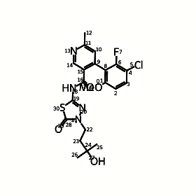 COc1ccc(Cl)c(F)c1-c1cc(C)ncc1C(=O)Nc1nn(CCC(C)(C)O)c(=O)s1